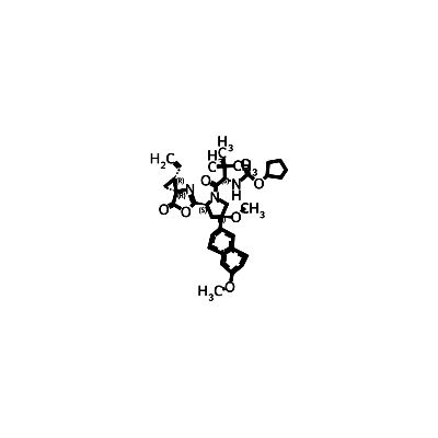 C=C[C@H]1C[C@@]12N=C([C@@H]1C[C@@](OC)(c3ccc4cc(OC)ccc4c3)CN1C(=O)[C@@H](NC(=O)OC1CCCC1)C(C)(C)C)OC2=O